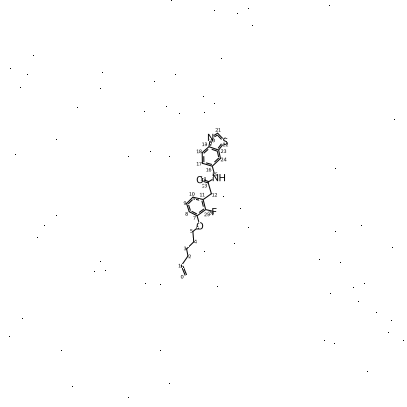 C=CCCCCOc1cccc(CC(=O)Nc2ccc3ncsc3c2)c1F